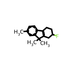 Cc1ccc2c(c1)C(C)(C)C1=C2CCC(F)C1